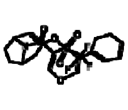 O=C(C1=COC=C(C2=CC=CCC2)O1)N1C2C=C(OS(=O)(=O)C(F)(F)F)CC1CC2